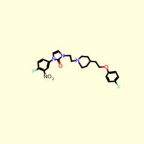 O=c1n(CCN2CCC(CCOc3ccc(F)cc3)CC2)ccn1-c1ccc(F)c([N+](=O)[O-])c1